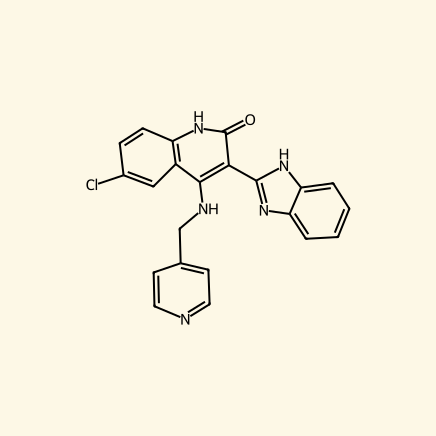 O=c1[nH]c2ccc(Cl)cc2c(NCc2ccncc2)c1-c1nc2ccccc2[nH]1